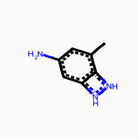 Cc1cc(N)cc2[nH][nH]c12